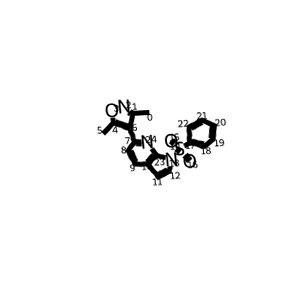 Cc1noc(C)c1-c1ccc2ccn(S(=O)(=O)c3ccccc3)c2n1